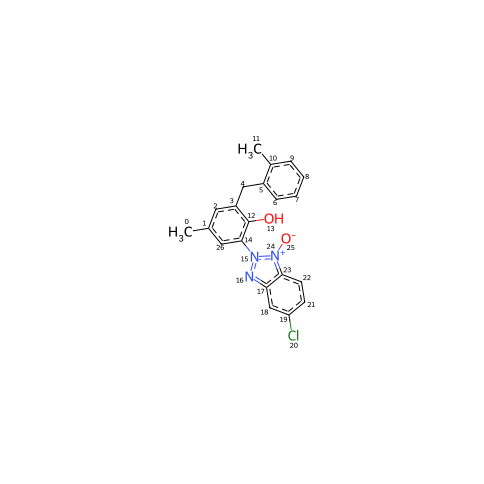 Cc1cc(Cc2ccccc2C)c(O)c(-n2nc3cc(Cl)ccc3[n+]2[O-])c1